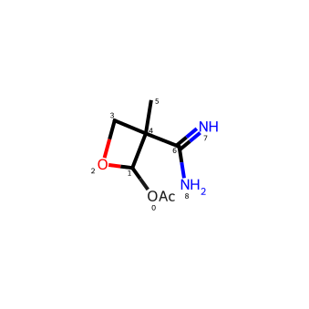 CC(=O)OC1OCC1(C)C(=N)N